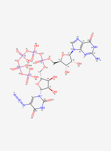 [N-]=[N+]=Nc1cn([C@@H]2O[C@H](COP(=O)(OC[C@H]3O[C@@H](n4cnc5c(=O)[nH]c(N)nc54)[C@H](O)[C@@H]3O)OP(=O)(O)OP(=O)(O)OP(=O)(O)OP(=O)(O)O)[C@@H](O)[C@H]2O)c(=O)[nH]c1=O